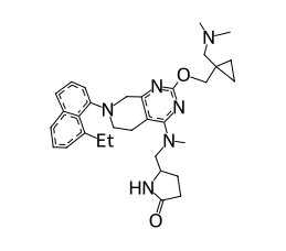 CCc1cccc2cccc(N3CCc4c(nc(OCC5(CN(C)C)CC5)nc4N(C)CC4CCC(=O)N4)C3)c12